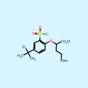 CCCCCCCCCCCCC(Oc1ccc(C(C)(C)CC)cc1S(=O)(=O)Cl)C(=O)OCC